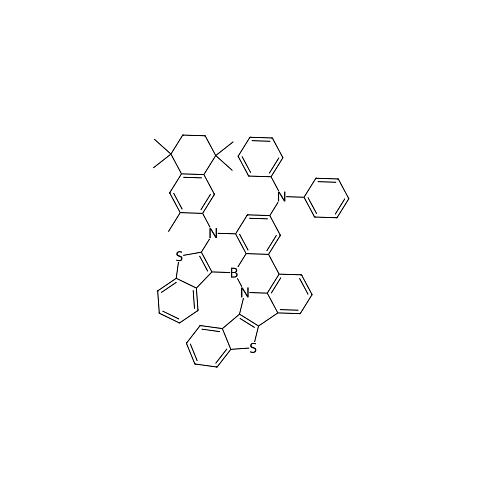 Cc1cc2c(cc1N1c3cc(N(c4ccccc4)c4ccccc4)cc4c3B(c3c1sc1ccccc31)n1c3c-4cccc3c3sc4ccccc4c31)C(C)(C)CCC2(C)C